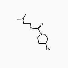 CN(C)CCOC(=O)N1CCC(C#N)CC1